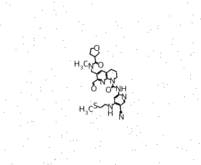 CSCCNc1cc(NC(=O)N2CCCc3cc(CN(C)C(=O)C4CCOC4)c(C=O)nc32)ncc1C#N